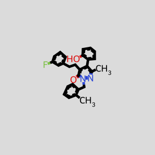 Cc1ccccc1Cn1nc(C)c(-c2ccccc2O)c(CCc2cccc(F)c2)c1=O